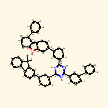 CC1(C)c2ccccc2-c2ccc(-c3cccc(-c4nc(-c5cccc(-c6ccccc6)c5)nc(-c5cccc(-c6ccc7c(c6)oc6cccc(-c8ccccc8)c67)c5)n4)c3)cc21